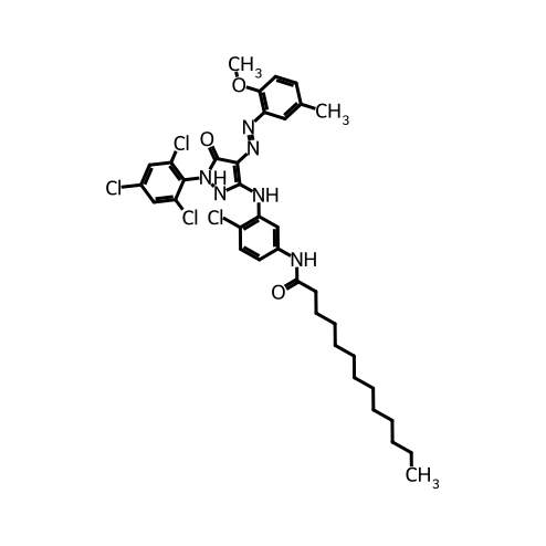 CCCCCCCCCCCCC(=O)Nc1ccc(Cl)c(Nc2[nH]n(-c3c(Cl)cc(Cl)cc3Cl)c(=O)c2N=Nc2cc(C)ccc2OC)c1